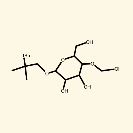 CC(C)(C)C(C)(C)COC1OC(CO)C(OCO)C(O)C1O